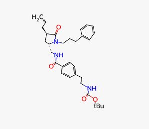 C=CC[C@@H]1C[C@@H](CNC(=O)c2ccc(CCNC(=O)OC(C)(C)C)cc2)N(CCCc2ccccc2)C1=O